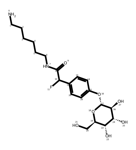 NCCCCCCNC(=O)C(F)c1ccc(O[C@H]2O[C@H](CO)[C@@H](O)[C@@H](O)[C@@H]2O)cc1